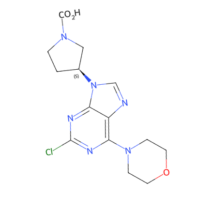 O=C(O)N1CC[C@H](n2cnc3c(N4CCOCC4)nc(Cl)nc32)C1